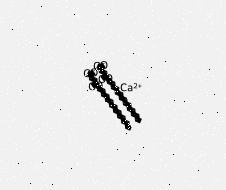 CCCCCCCCCCCCCCCCOC(=O)CCC(=O)[O-].CCCCCCCCCCCCCCCCOC(=O)CCC(=O)[O-].[Ca+2]